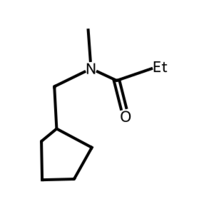 CCC(=O)N(C)CC1CCCC1